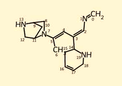 C=N/C=C(\C=C(/C)N1CC2CC1CN2)C1CC=CCN1